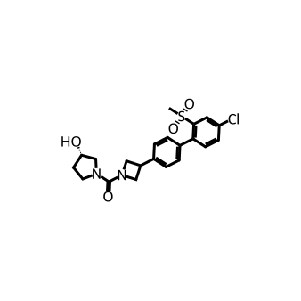 CS(=O)(=O)c1cc(Cl)ccc1-c1ccc(C2CN(C(=O)N3CC[C@H](O)C3)C2)cc1